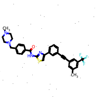 Cc1cc(C#Cc2cccc(-c3csc(NC(=O)c4ccc(CN5CCN(C)CC5)cc4)n3)c2)cc(C(F)(F)F)c1